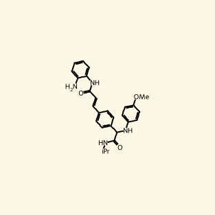 COc1ccc(NC(C(=O)NC(C)C)c2ccc(C=CC(=O)Nc3ccccc3N)cc2)cc1